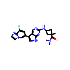 CN(C)C(=O)C1(C)CC(Nc2ncc3c(-c4cc(F)c5nccn5c4)c[nH]c3n2)C1